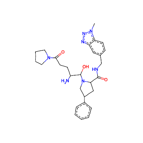 Cn1nnc2cc(CNC(=O)C3CC(c4ccccc4)CN3C(O)C(N)CCC(=O)N3CCCC3)ccc21